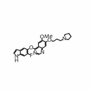 COc1cc2c(Oc3cc4cc[nH]c4cc3F)ncnc2cc1OCCCN1CCCC1